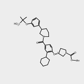 CC(C)(C)OC(=O)N1CC[C@H](Oc2ccc(C(=O)N3CCCC(c4cccc(OC(C)(C)C(=O)O)c4)C3)cc2C2CCCCC2)C1